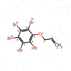 C=CCOc1c(Br)c(Br)c(Br)c(Br)c1Br